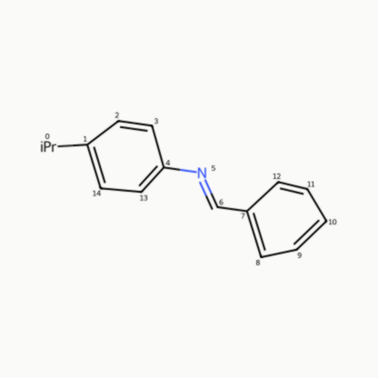 CC(C)c1ccc(N=Cc2ccccc2)cc1